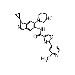 Cc1cc(-c2nc(C(=O)Nc3cc4cnn(C5CC5)c4cc3N3CCCCC3)co2)ccn1.Cl